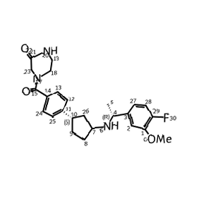 COc1cc([C@@H](C)NC2CC[C@H](c3ccc(C(=O)N4CCNC(=O)C4)cc3)C2)ccc1F